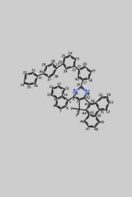 CC1(C)c2c(-c3cccc4ccccc34)nc(-c3cccc(-c4cccc(-c5ccc(-c6ccccc6)cc5)c4)c3)nc2-c2c1c1ccccc1c1ccccc21